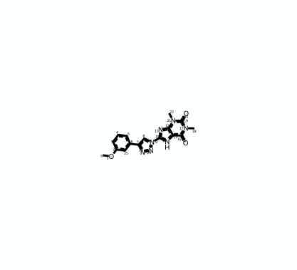 COc1cccc(-c2cn(-c3nc4c([nH]3)c(=O)n(C)c(=O)n4C)nn2)c1